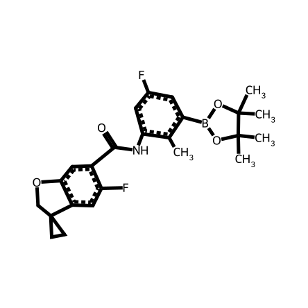 Cc1c(NC(=O)c2cc3c(cc2F)C2(CC2)CO3)cc(F)cc1B1OC(C)(C)C(C)(C)O1